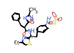 CCc1csc([C@H](Cc2ccc(NO[SH](=O)=O)cc2)NC(=O)C(Cc2ccccc2)c2nc(C)no2)n1